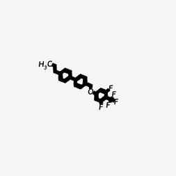 CCCc1ccc(-c2ccc(COc3cc(F)c(C(F)(F)F)c(F)c3)cc2)cc1